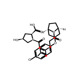 O=C(O)[C@@H]1C[C@H](O)CN1C(=O)c1cc(Cl)ccc1OCC(=O)N1[C@@H]2CC[C@H]1CC(Oc1ccc(F)cc1)C2